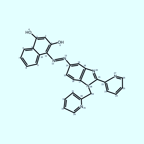 Oc1cc(O)c2ccccc2c1/N=N/c1ccc2c(c1)nc(-c1ccccn1)n2Cc1ccccn1